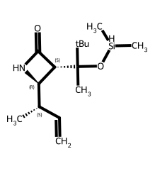 C=C[C@H](C)[C@H]1NC(=O)[C@@H]1C(C)(O[SiH](C)C)C(C)(C)C